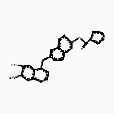 COc1cc2cccc(Cc3ccc4cc(NC(=O)c5ccsc5)ccc4c3)c2cc1OC